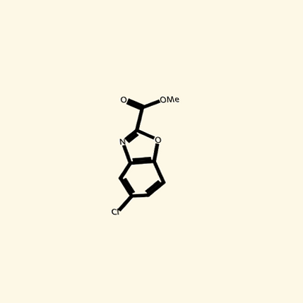 COC(=O)c1nc2cc(Cl)ccc2o1